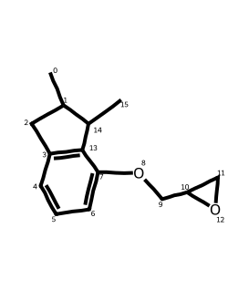 CC1Cc2cccc(OCC3CO3)c2C1C